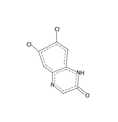 O=c1cnc2cc(Cl)c(Cl)cc2[nH]1